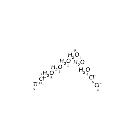 O.O.O.O.O.O.[Cl-].[Cl-].[Cl-].[Ti+3]